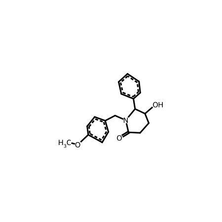 COc1ccc(CN2C(=O)CCC(O)C2c2ccccc2)cc1